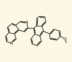 COc1ccc(-c2c3ccccc3c(-c3cc4c(ccc5ccncc54)cn3)c3ccccc23)cc1